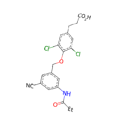 CCC(=O)Nc1cc(C#N)cc(COc2c(Cl)cc(CCC(=O)O)cc2Cl)c1